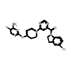 Nc1nc(OC2CCN(c3cc(C(=O)N4CCc5cc(Cl)ccc54)ncn3)CC2)ncc1F